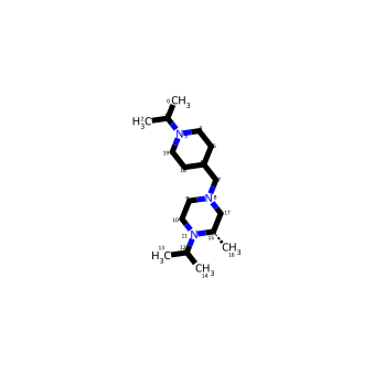 CC(C)N1CCC(CN2CCN(C(C)C)[C@@H](C)C2)CC1